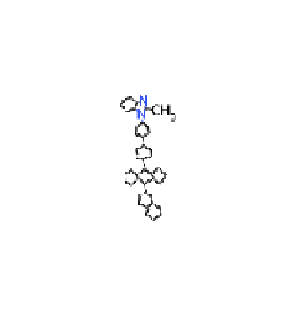 Cc1nc2ccccc2n1-c1ccc(-c2ccc(-c3c4ccccc4c(-c4ccc5ccccc5c4)c4ccccc34)cc2)cc1